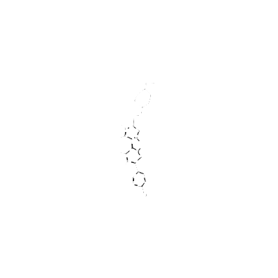 CCCCCC1CCC(COc2cc3oc4cc(-c5ccc(CCC)cc5)c(F)c(F)c4c3c(F)c2F)CC1